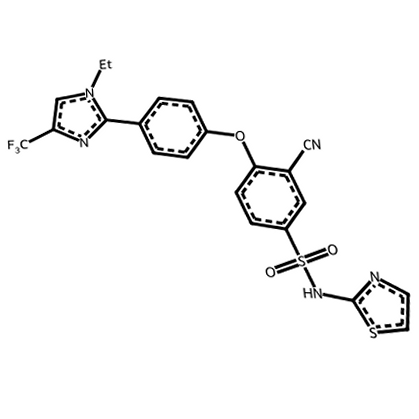 CCn1cc(C(F)(F)F)nc1-c1ccc(Oc2ccc(S(=O)(=O)Nc3nccs3)cc2C#N)cc1